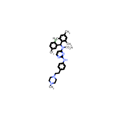 Cc1cc(C)c(C(c2cc(C(F)(F)F)ccc2Cl)N(C(=O)O)c2ccnc(Nc3ccc(CCN4CCN(C)CC4)cc3)n2)c(C)c1